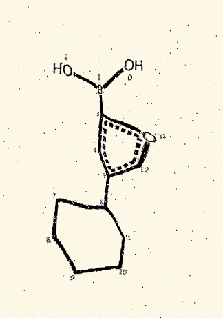 OB(O)c1cc(C2CCCCC2)co1